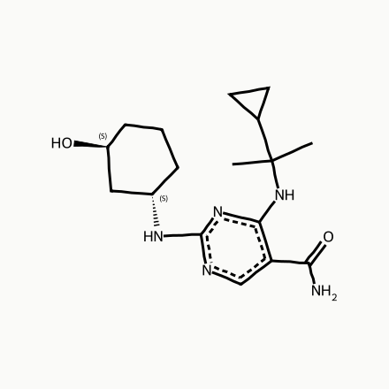 CC(C)(Nc1nc(N[C@H]2CCC[C@H](O)C2)ncc1C(N)=O)C1CC1